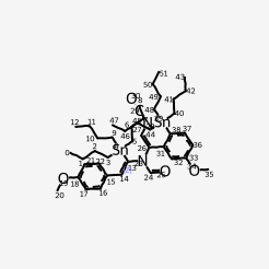 CCC[CH2][Sn]([CH2]CCC)([CH2]CCC)/[C](=C\c1ccc(OC)cc1)N(C=O)C(=CN=C=O)c1cc(OC)cc[c]1[Sn]([CH2]CCC)([CH2]CCC)[CH2]CCC